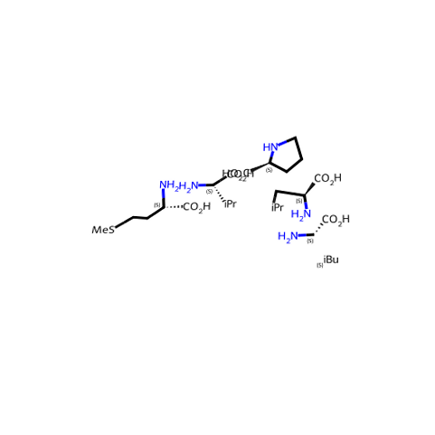 CC(C)C[C@H](N)C(=O)O.CC(C)[C@H](N)C(=O)O.CC[C@H](C)[C@H](N)C(=O)O.CSCC[C@H](N)C(=O)O.O=C(O)[C@@H]1CCCN1